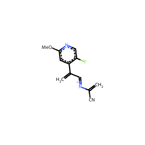 C=C(C#N)/N=C/C(=C)c1cc(OC)ncc1F